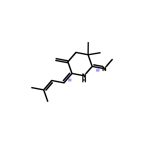 C=C1CC(C)(C)/C(=N\C)N/C1=C/C=C(C)C